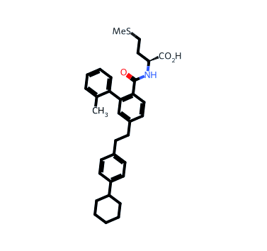 CSCC[C@H](NC(=O)c1ccc(CCc2ccc(C3CCCCC3)cc2)cc1-c1ccccc1C)C(=O)O